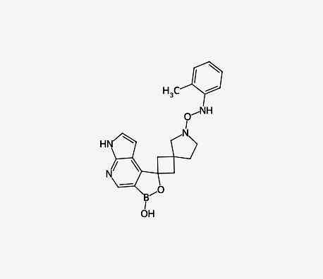 Cc1ccccc1NON1CCC2(C1)CC1(C2)OB(O)c2cnc3[nH]ccc3c21